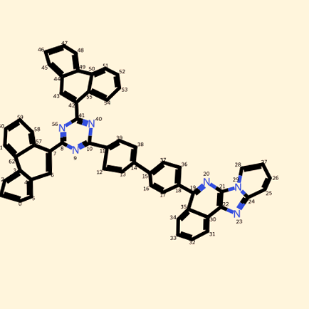 c1ccc2c(c1)cc(-c1nc(-c3ccc(-c4ccc(-c5nc6c(nc7ccccn76)c6ccccc56)cc4)cc3)nc(-c3cc4ccccc4c4ccccc34)n1)c1ccccc12